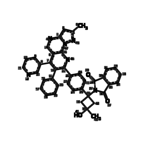 Cc1cc2ncc3c(-c4cccnc4)c(-c4ccccc4)c(-c4ccc(C5(N6C(=O)c7ccccc7C6=O)CC(C)(O)C5)cc4)nc3n2n1